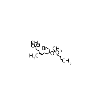 CCCCOC(C)OC(CBr)CCC=C(C)CCC(=O)OC